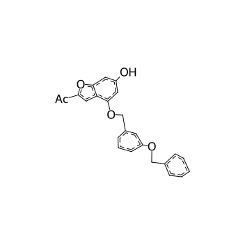 CC(=O)c1cc2c(OCc3cccc(OCc4ccccc4)c3)cc(O)cc2o1